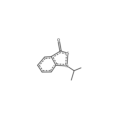 CC(C)n1sc(=O)c2ccccc21